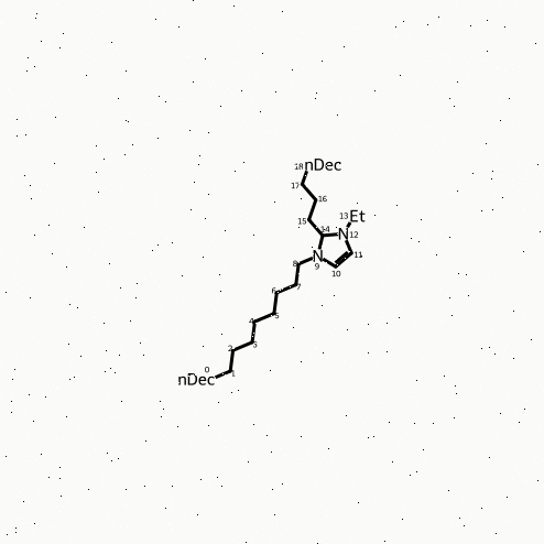 CCCCCCCCCCCCCCCCCCN1C=CN(CC)C1CCCCCCCCCCCCC